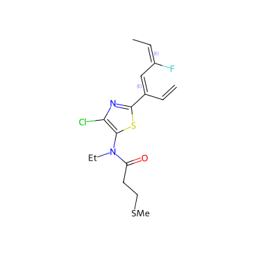 C=C/C(=C\C(F)=C/C)c1nc(Cl)c(N(CC)C(=O)CCSC)s1